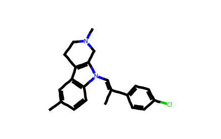 CC(=Cn1c2c(c3cc(C)ccc31)CCN(C)C2)c1ccc(Cl)cc1